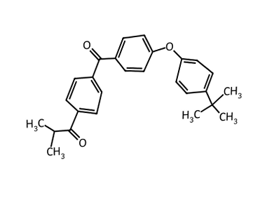 CC(C)C(=O)c1ccc(C(=O)c2ccc(Oc3ccc(C(C)(C)C)cc3)cc2)cc1